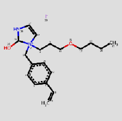 C=Cc1ccc(C[N+]2(CCCOCCCC)C=CNC2O)cc1.[I-]